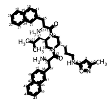 Cc1cc(NCCC[C@H]2CN(C(=O)[C@H](N)Cc3ccc4ccccc4c3)[C@H](CC(C)C)CN2C(=O)[C@H](N)Cc2ccc3ccccc3c2)on1